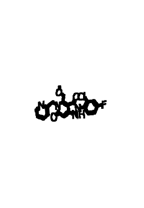 COCc1c2c(=O)n(-c3ccc(F)cc3Cl)[nH]c2cc(=O)n1Cc1ccccn1